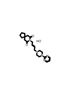 Cl.O=C1CC2(CCCC2)CC(=O)N1CC=CCN1CCN(c2ncccn2)CC1